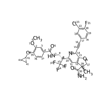 COc1cc(C(=O)NC[C@H](c2cc3c(c(C#Cc4ccc(F)c(Cl)c4)n2)OC[C@]3(C)C(N)=O)C(F)(F)F)ccc1OC1CC1